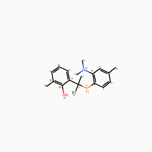 CCC(C)(Pc1ccc(C)cc1N(C)C)c1cccc(C)c1O